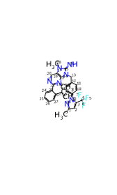 Cc1cc(C(F)(F)F)n(-c2ccc(Cn3c(=N)n(C)c4cnc(-c5ccccc5C(C)C)nc43)cc2)n1